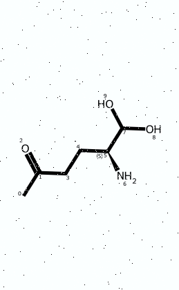 CC(=O)CC[C@H](N)C(O)O